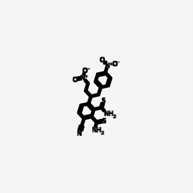 N#Cc1ccc(C(CC[N+](=O)[O-])Cc2ccc([N+](=O)[O-])cc2)c(C(N)=S)c1C(N)=S